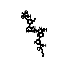 CCCCC(=O)Nc1cncc(-c2ccc3[nH]nc(-c4nc5c(-c6cc(F)cc(CNS(C)(=O)=O)c6)cncc5[nH]4)c3n2)c1